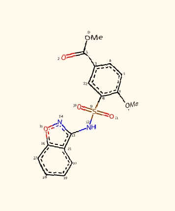 COC(=O)c1ccc(OC)c(S(=O)(=O)Nc2noc3ccccc23)c1